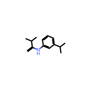 C=C(Nc1cccc(C(C)C)c1)C(C)C